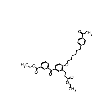 CCOC(=O)CCc1cc(C(=O)c2cccc(C(=O)OCC)c2)ccc1OCCCCCCc1ccc(C(C)=O)cc1